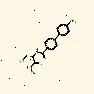 Cc1ccc(-c2ccc(C(=O)N[C@@H](CN)C(=O)NO)cc2)cc1